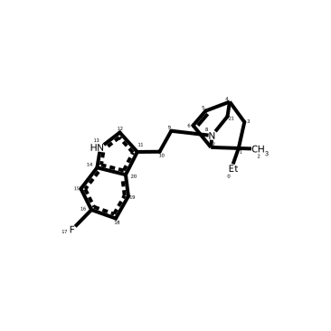 CCC1(C)CC2C=CC1N(CCc1c[nH]c3cc(F)ccc13)C2